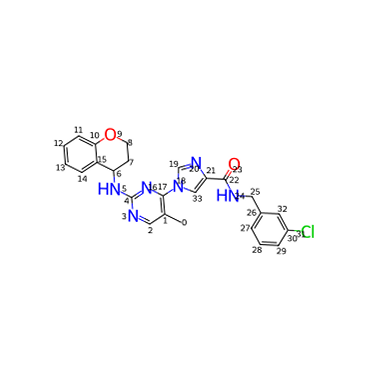 Cc1cnc(NC2CCOc3ccccc32)nc1-n1cnc(C(=O)NCc2cccc(Cl)c2)c1